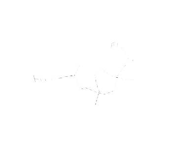 CCOC(C)(C)CC(C)(C)CC(C)C(=O)O